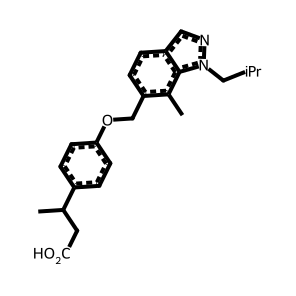 Cc1c(COc2ccc(C(C)CC(=O)O)cc2)ccc2cnn(CC(C)C)c12